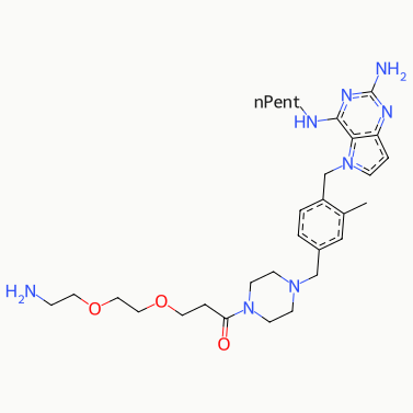 CCCCCNc1nc(N)nc2ccn(Cc3ccc(CN4CCN(C(=O)CCOCCOCCN)CC4)cc3C)c12